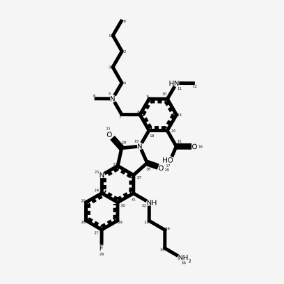 CCCCCN(C)Cc1cc(NC)cc(C(=O)O)c1N1C(=O)c2nc3ccc(F)cc3c(NCCCN)c2C1=O